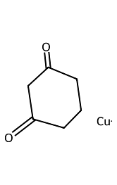 O=C1CCCC(=O)C1.[Cu]